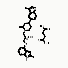 Cc1cc2c(OC[C@@H](O)CN3CCC(c4ccc5scc(C)c5c4)CC3C)cccc2[nH]1.O=C(O)CCC(=O)O